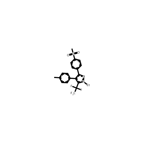 CCn1nc(-c2ccc(S(C)(=O)=O)cc2)c(-c2ccc(C)cc2)c1C(F)(F)C(F)(F)F